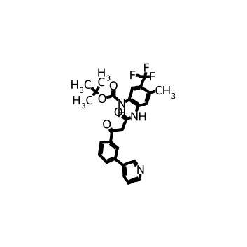 Cc1cc(NC(=O)CC(=O)c2cccc(-c3cccnc3)c2)c(NC(=O)OC(C)(C)C)cc1C(F)(F)F